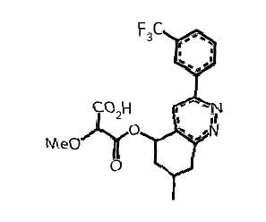 COC(C(=O)O)C(=O)OC1CC(C)Cc2nnc(-c3cccc(C(F)(F)F)c3)cc21